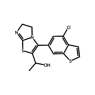 CC(O)C1=C(c2cc(Cl)c3ccsc3c2)N2CCN=C2S1